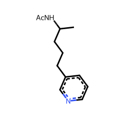 CC(=O)NC(C)CCCc1cccnc1